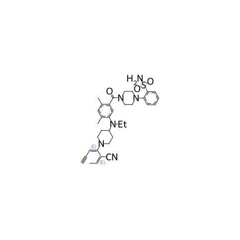 C#C/C=C(\C(C#N)=C/C)N1CCC(N(CC)c2cc(C(=O)N3CCN(c4ccccc4S(N)(=O)=O)CC3)c(C)cc2C)CC1